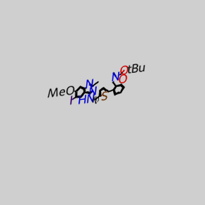 COc1cc2nc(C)nc(N[C@H](C)c3ccc(-c4ccccc4CN(C)C(=O)OC(C)(C)C)s3)c2cc1I